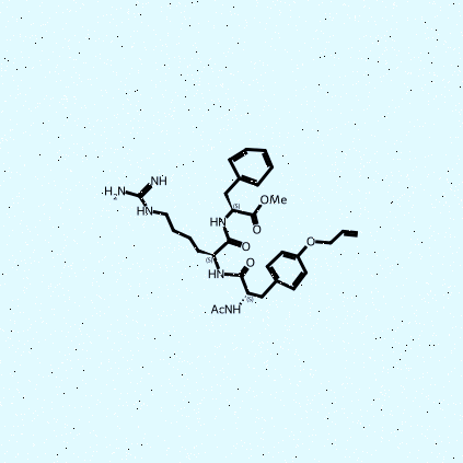 C=CCOc1ccc(C[C@H](NC(C)=O)C(=O)N[C@@H](CCCCNC(=N)N)C(=O)N[C@@H](Cc2ccccc2)C(=O)OC)cc1